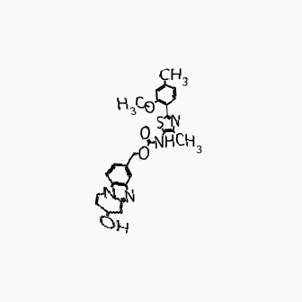 COc1cc(C)ccc1-c1nc(C)c(NC(=O)OCc2ccc3c(c2)nc2n3CCC(O)C2)s1